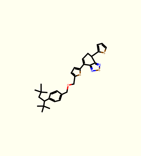 CC(C)(C)CC(c1ccc(COCc2ccc(C3=CCC(c4cccs4)c4nsnc43)s2)cc1)C(C)(C)C